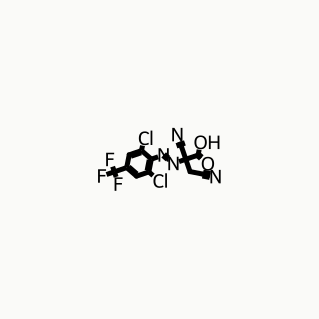 N#CCC(C#N)(N=Nc1c(Cl)cc(C(F)(F)F)cc1Cl)C(=O)O